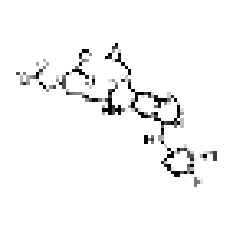 COC(=O)CN(C/C=C/C(=O)Nc1cc2c(Nc3ccc(F)c(Cl)c3)ncnc2cc1OCC1CC1)CC(=O)OC